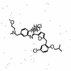 COCCN(C)Cc1ccc2[nH]c(-c3ccc(Cc4cc(Cl)ccc4OCC(C)C)o3)nc2c1.Cl.Cl